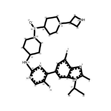 Cc1nc2c(F)cc(-c3nc(NC4CCN([S+]([O-])C5CCN(C6CNC6)CC5)CC4)ncc3F)cc2n1C(C)C